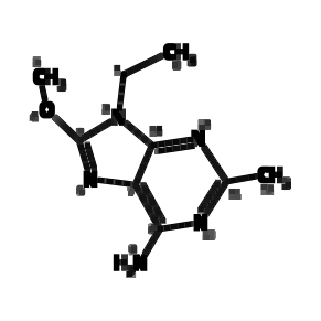 CCn1c(OC)nc2c(N)nc(C)nc21